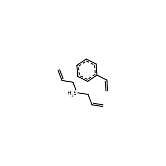 C=CC[SiH2]CC=C.C=Cc1ccccc1